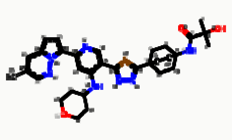 CC(C)(O)C(=O)NC12CCC(c3nnc(-c4cnc(-c5ccc6cc(C#N)cnn56)cc4NC4CCOCC4)s3)(CC1)CC2